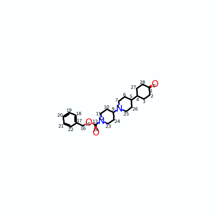 O=C1CCC(C2CCN(C3CCN(C(=O)OCc4ccccc4)CC3)CC2)CC1